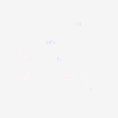 C=CCNc1c2c(=O)c(=O)c2cn1-c1ccsc1C(=O)OC